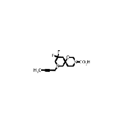 CC#CCN1CC(F)(F)CC2(CCN(C(=O)O)CO2)C1